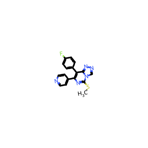 CSc1nc(-c2ccncc2)c(-c2ccc(F)cc2)c2nncn12